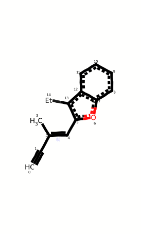 C#C/C(C)=C/c1oc2ccccc2c1CC